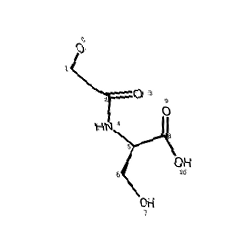 [O]CC(=O)N[C@H](CO)C(=O)O